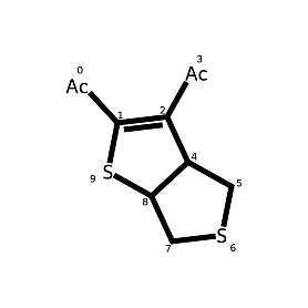 CC(=O)C1=C(C(C)=O)C2CSCC2S1